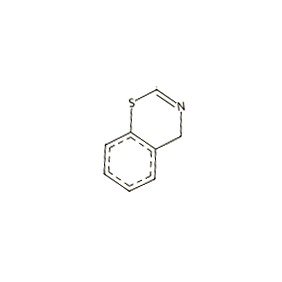 [C]1=NCc2ccccc2S1